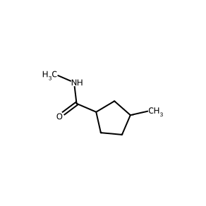 CNC(=O)C1CC[C](C)C1